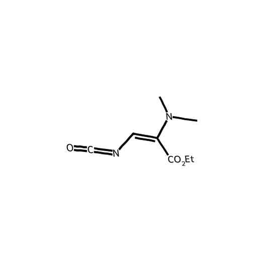 CCOC(=O)/C(=C\N=C=O)N(C)C